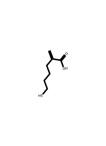 C=C(CCCCS)C(=O)O